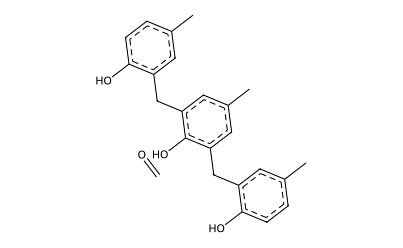 C=O.Cc1ccc(O)c(Cc2cc(C)cc(Cc3cc(C)ccc3O)c2O)c1